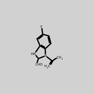 C=C(C)N1c2ccc(F)cc2NC1C=O